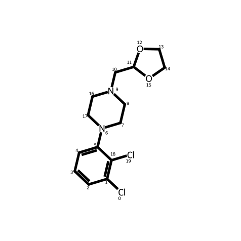 Clc1cccc(N2CCN(CC3OCCO3)CC2)c1Cl